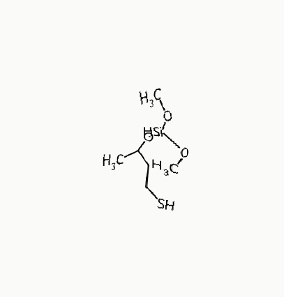 CO[SiH](OC)OC(C)CCS